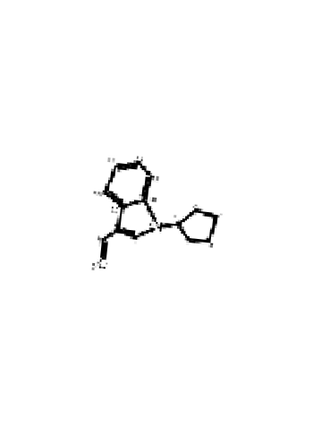 O=Cc1cn(C2CCCC2)c2ccccc12